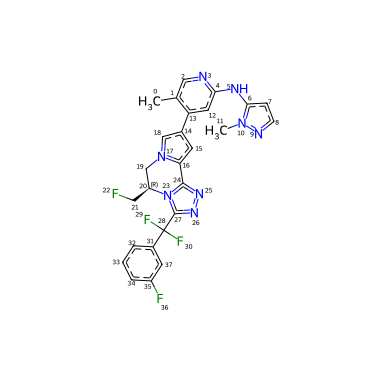 Cc1cnc(Nc2ccnn2C)cc1-c1cc2n(c1)C[C@H](CF)n1c-2nnc1C(F)(F)c1cccc(F)c1